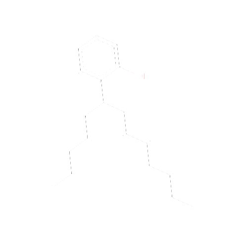 CCCCCCCC(CCCCC)c1ccccc1O